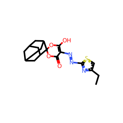 CCc1csc(N=NC2=C(O)OC3(OC2=O)C2CC4CC(C2)CC3C4)n1